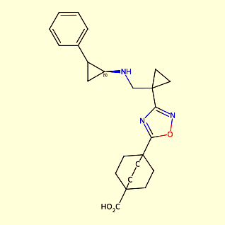 O=C(O)C12CCC(c3nc(C4(CN[C@H]5CC5c5ccccc5)CC4)no3)(CC1)CC2